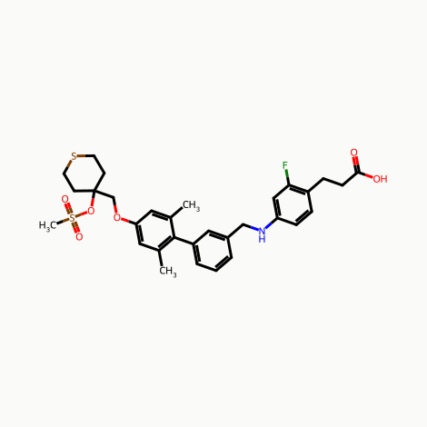 Cc1cc(OCC2(OS(C)(=O)=O)CCSCC2)cc(C)c1-c1cccc(CNc2ccc(CCC(=O)O)c(F)c2)c1